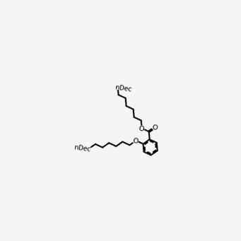 CCCCCCCCCCCCCCCCOC(=O)c1ccccc1OCCCCCCCCCCCCCCCC